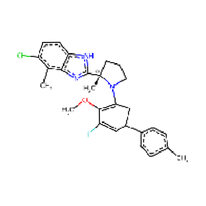 COC1=C(N2CCC[C@@]2(C)c2nc3c(C)c(Cl)ccc3[nH]2)CC(c2ccc(C)cc2)[C]=C1F